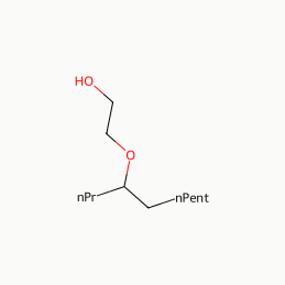 CCCCCCC(CCC)OCCO